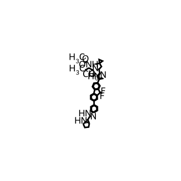 COC(=O)NC(C(=O)N1CC2(CC2)CC1c1ncc(-c2ccc3c(c2)C(F)(F)c2cc(-c4ccc5nc(C6NC7CCC6C7)[nH]c5c4)ccc2-3)[nH]1)C(C)C